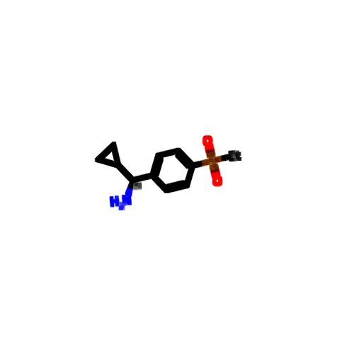 CCS(=O)(=O)c1ccc([C@@H](N)C2CC2)cc1